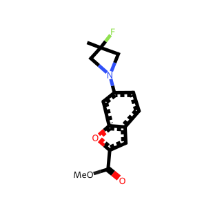 COC(=O)c1cc2ccc(N3CC(C)(F)C3)cc2o1